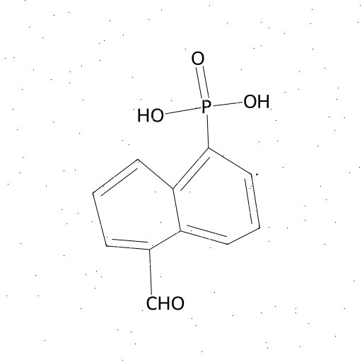 O=Cc1cccc2c(P(=O)(O)O)[c]ccc12